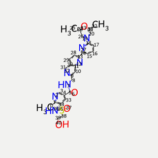 Cc1ncc(C(=O)NCc2cc3nc(-c4cccc(N5C[C@@H](C)O[C@@H](C)C5)n4)ccc3cn2)cc1S(=N)(=O)CCO